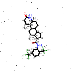 C[C@]12CCC3C(CC[C@H]4NC(=O)C=C[C@]34C)C1CC[C@@H]2C(=O)Nc1cc(C(F)(F)F)ccc1C(F)(F)F